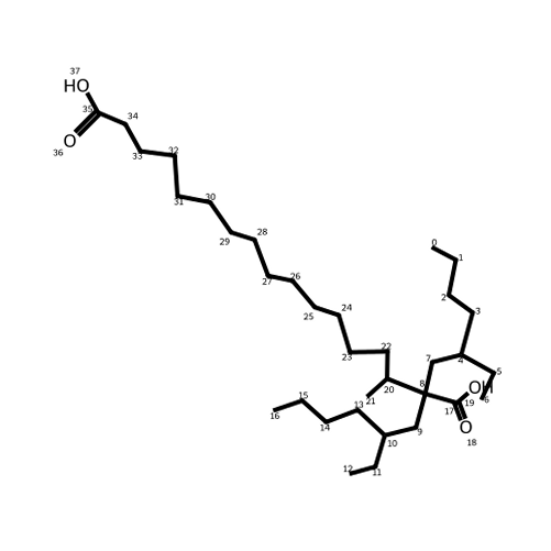 CCCCC(CC)CC(CC(CC)CCCC)(C(=O)O)C(C)CCCCCCCCCCCCCC(=O)O